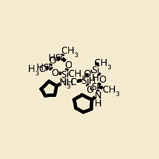 C[SiH]1O[SiH](C)O[Si](C)(NC2CCCC2)O1.C[SiH]1O[SiH](C)O[Si](C)(NC2CCCCC2)O1